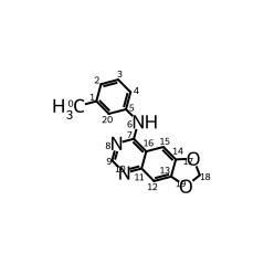 Cc1cccc(Nc2ncnc3cc4c(cc23)OCO4)c1